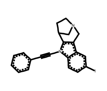 Ic1ccc2c(c1)c1c(n2C#Cc2ccccc2)C2CCN(C1)C2